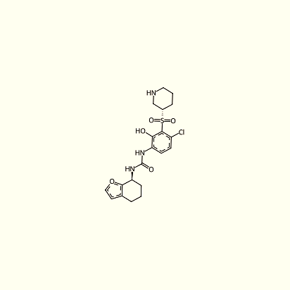 O=C(Nc1ccc(Cl)c(S(=O)(=O)[C@H]2CCCNC2)c1O)N[C@H]1CCCc2ccoc21